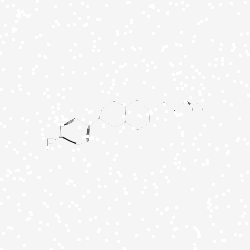 O=CCCC1CCC2CC(c3ccc(F)cc3)CCC2C1